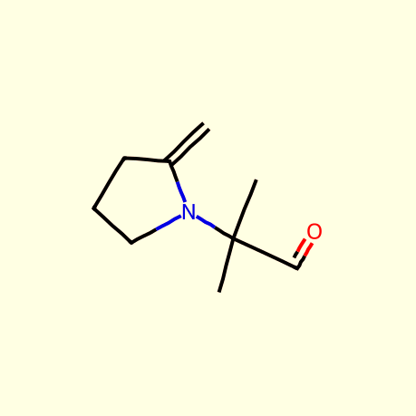 C=C1CCCN1C(C)(C)C=O